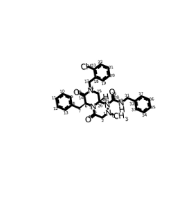 CN1CC(=O)N2[C@@H](Cc3ccccc3)C(=O)N(Cc3ccccc3Cl)C[C@@H]2N1C(=O)NCc1ccccc1